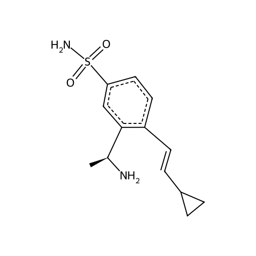 C[C@H](N)c1cc(S(N)(=O)=O)ccc1/C=C/C1CC1